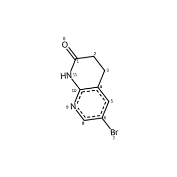 O=C1CCc2cc(Br)cnc2N1